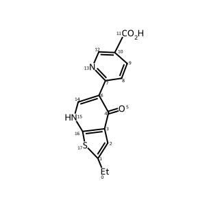 CCc1cc2c(=O)c(-c3ccc(C(=O)O)cn3)c[nH]c2s1